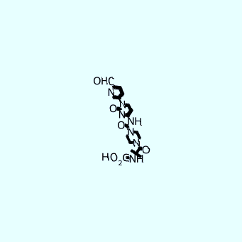 CC(C)(NC(=O)O)C(=O)N1CCN(C(=O)Nc2ccn(-c3ccc(C=O)nc3)c(=O)n2)CC1